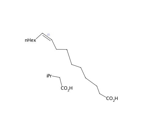 CC(C)CC(=O)O.CCCCCC/C=C\CCCCCCCC(=O)O